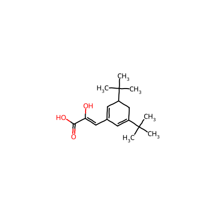 CC(C)(C)C1=CC(C=C(O)C(=O)O)=CC(C(C)(C)C)C1